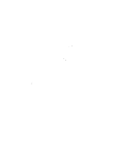 CCCCN1CCCC(CCC)C1.CS(=O)(=O)O